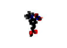 COC(=O)C=Cc1ccc(N(C)C(C)(C)C)c([N+](=O)[O-])c1